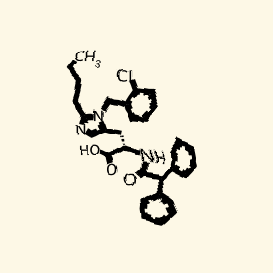 CCCCc1ncc(C[C@H](NC(=O)C(c2ccccc2)c2ccccc2)C(=O)O)n1Cc1ccccc1Cl